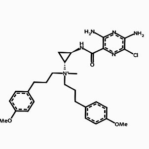 COc1ccc(CCC[N+](C)(CCCc2ccc(OC)cc2)[C@@H]2C[C@H]2NC(=O)c2nc(Cl)c(N)nc2N)cc1